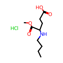 CCCCNC(CCC(=O)O)C(=O)OC.Cl